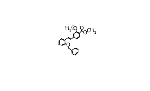 COC(=O)c1ccc(C=Cc2ccccc2OCc2ccccc2)cc1OC